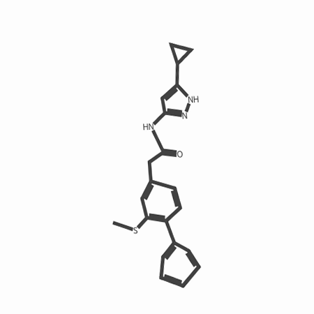 CSc1cc(CC(=O)Nc2cc(C3CC3)[nH]n2)ccc1-c1ccccc1